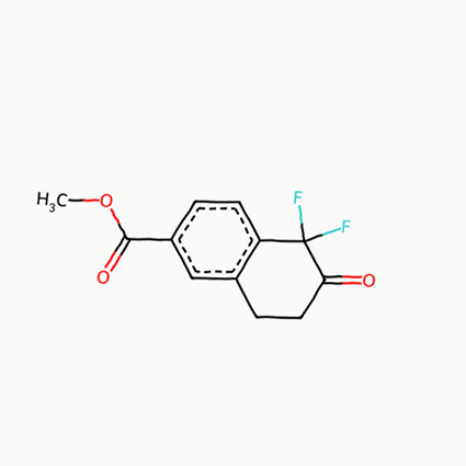 COC(=O)c1ccc2c(c1)CCC(=O)C2(F)F